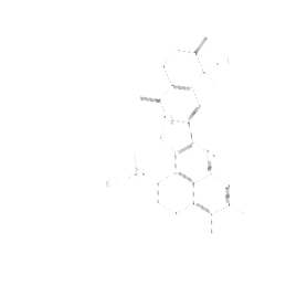 C=C1C2=C(C=C3c4nc5cc(F)c(C)c6c5c(c4CN13)[C@@H](NC(C)CC)CC6)[C@@](C)(CC)C(=C)CC2